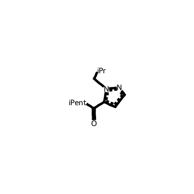 CCCC(C)C(=O)c1ccnn1CC(C)C